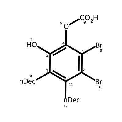 CCCCCCCCCCc1c(O)c(OC(=O)O)c(Br)c(Br)c1CCCCCCCCCC